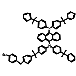 CCC(C)c1ccc(Cc2ccc(C(C)(C)c3ccc(N(c4ccc(C(C)(C)c5ccccc5)cc4)c4c5ccccc5c(N(c5ccc(C(C)(C)c6ccccc6)cc5)c5ccc(C(C)(C)c6ccccc6)cc5)c5ccccc45)cc3)cc2)cc1